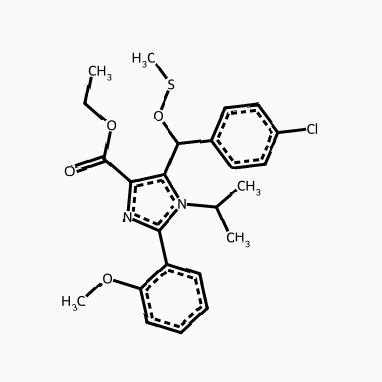 CCOC(=O)c1nc(-c2ccccc2OC)n(C(C)C)c1C(OSC)c1ccc(Cl)cc1